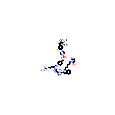 CCn1cc(C(=O)O)c(=O)c2cc(F)c(N3CCN(C(=O)OCc4ccc(NC[C@H](CCCNC(N)=O)n5cc([C@@H](NC[C@H](Cc6ccccc6)NCCCCCCN6C(=O)CCC6=O)C(C)C)nn5)cc4)CC3)cc21